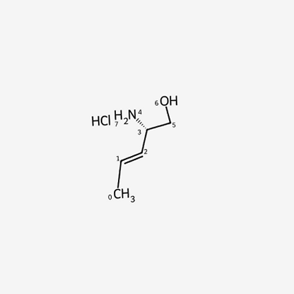 CC=C[C@H](N)CO.Cl